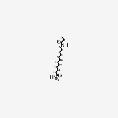 CCC(=O)NCCCCCCCCCCCC(=O)NC